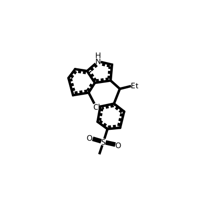 [CH2]CC(c1ccc(S(C)(=O)=O)cc1)c1c[nH]c2cccc(Cl)c12